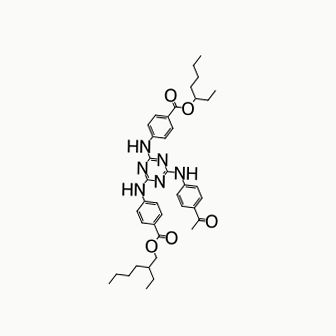 CCCCC(CC)COC(=O)c1ccc(Nc2nc(Nc3ccc(C(C)=O)cc3)nc(Nc3ccc(C(=O)OC(CC)CCCC)cc3)n2)cc1